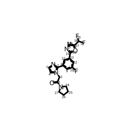 O=C(Cn1ccnc1-c1cc(F)cc(-c2nnc(C(F)F)o2)c1)N1CCCC1